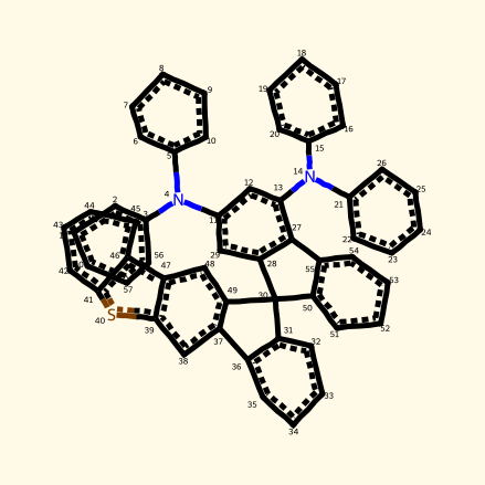 c1ccc(N(c2ccccc2)c2cc(N(c3ccccc3)c3ccccc3)c3c(c2)C2(c4ccccc4-c4cc5sc6ccccc6c5cc42)c2ccccc2-3)cc1